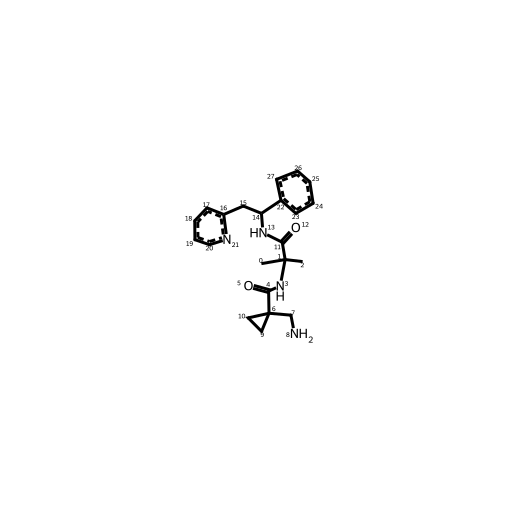 CC(C)(NC(=O)C1(CN)CC1)C(=O)NC(Cc1ccccn1)c1ccccc1